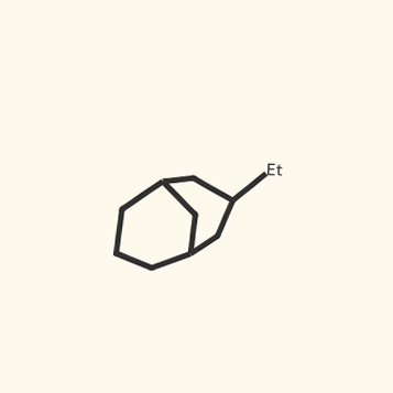 CCC1CC2CCCC(C1)C2